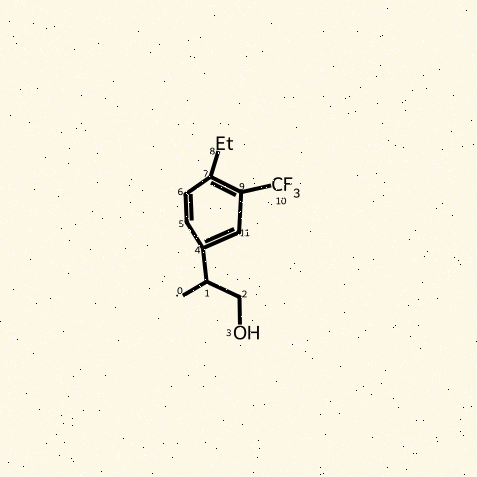 [CH2]C(CO)c1ccc(CC)c(C(F)(F)F)c1